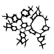 Cc1cc2c3cc1CC1c4cc(ccc4B4c5cc6c(cc5N(c5ccc7c(c5)C(C)(C)CC7(C)C)c5cc(C(c7ccc(C(C)(C)C)cc7)c7ccc(C(C)(C)C)cc7)cc1c54)C(C)(C)CC6(C)C)C(c1ccc(C(C)(C)C)cc1)c1ccc(cc1)C(C)(C)CC3(C)CC2(C)C